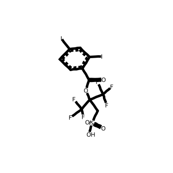 O=C(OC(CS(=O)(=O)O)(C(F)(F)F)C(F)(F)F)c1ccc(I)cc1I